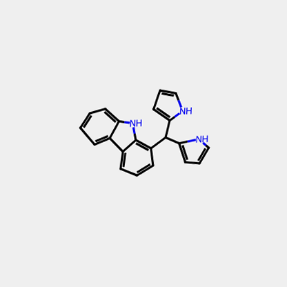 c1c[nH]c(C(c2ccc[nH]2)c2cccc3c2[nH]c2ccccc23)c1